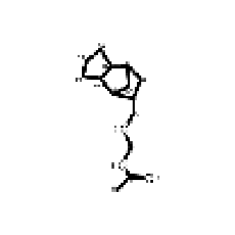 CC(=O)OCOCC1CC2CC1C1CCCC21